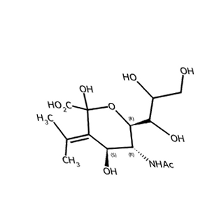 CC(=O)N[C@@H]1[C@@H](O)C(=C(C)C)C(O)(C(=O)O)O[C@H]1C(O)C(O)CO